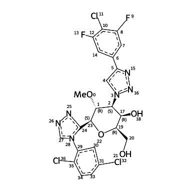 CO[C@@H]1[C@@H](n2cc(-c3cc(F)c(Cl)c(F)c3)nn2)[C@@H](O)[C@@H](CO)O[C@H]1c1nncn1-c1cc(Cl)ccc1Cl